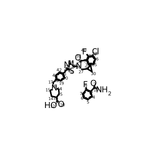 NC(=O)c1ccccc1F.O=C(O)C1CCN(Cc2ccc(-c3nnc(N(CC4CC4)C(=O)c4cccc(Cl)c4F)s3)cc2)CC1